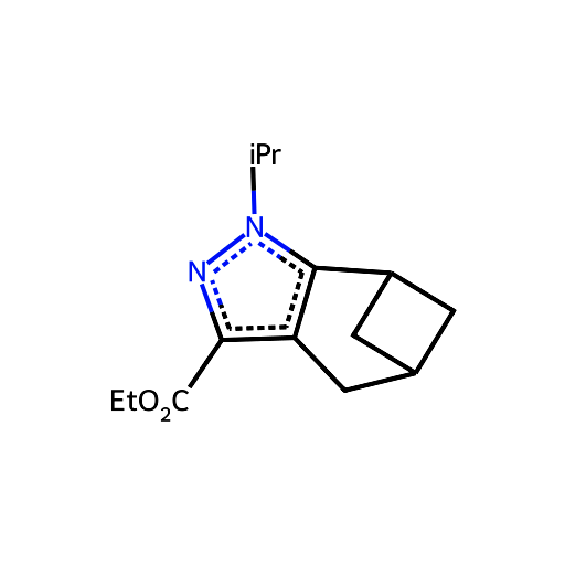 CCOC(=O)c1nn(C(C)C)c2c1CC1CC2C1